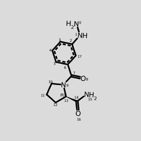 NNc1cccc(C(=O)N2CCC[C@@H]2C(N)=O)c1